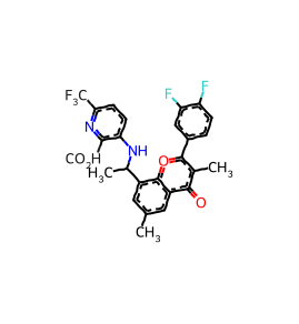 Cc1cc(C(C)Nc2ccc(C(F)(F)F)nc2C(=O)O)c2oc(-c3ccc(F)c(F)c3)c(C)c(=O)c2c1